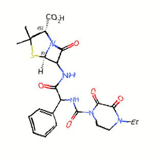 CCN1CCN(C(=O)NC(C(=O)NC2C(=O)N3[C@@H]2SC(C)(C)[C@@H]3C(=O)O)c2ccccc2)C(=O)C1=O